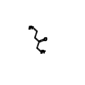 CC(C)CCC(=O)CC(C)C